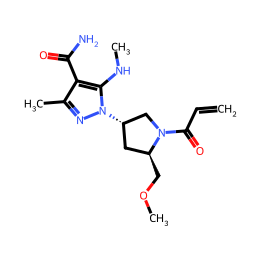 C=CC(=O)N1C[C@@H](n2nc(C)c(C(N)=O)c2NC)C[C@@H]1COC